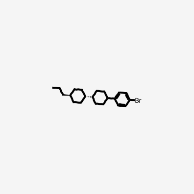 CCC[C@H]1CC[C@H](C2CCC(c3ccc(Br)cc3)CC2)CC1